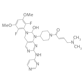 COc1cc(OC)c(F)c(N2Cc3cnc(Nc4ccncn4)nc3N(C3CCN(C(=O)/C=C/CN(C)C)CC3)C2O)c1F